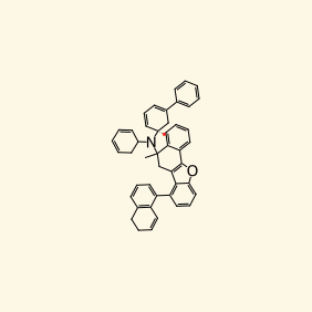 CC1(N(C2C=CC=CC2)[C@@]2(C)C=CC=C(c3ccccc3)C2)Cc2c(oc3cccc(-c4cccc5c4C=CCC5)c23)-c2ccccc21